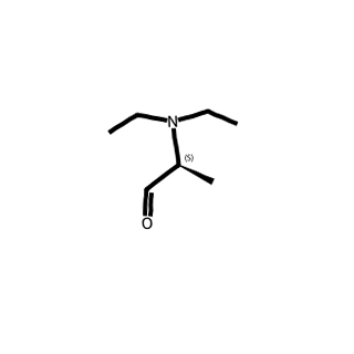 CCN(CC)[C@@H](C)C=O